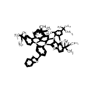 Cc1cc(C(C)(C)C)cc(C)c1N1c2cc(C(C)(C)C)cc3c2B(c2ccc(-c4cc5ccccc5o4)cc2N3c2ccc(C(C)(C)C)cc2-c2ccccc2)c2sc3ccc(C(C)(C)C)cc3c21